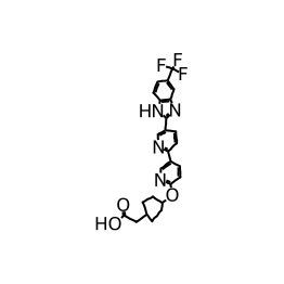 O=C(O)CC1CCC(Oc2ccc(-c3ccc(-c4nc5cc(C(F)(F)F)ccc5[nH]4)cn3)cn2)CC1